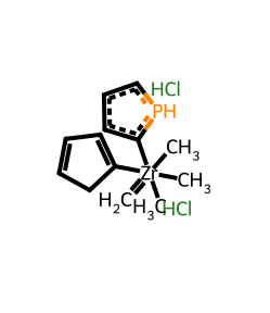 Cl.Cl.[CH2]=[Zr]([CH3])([CH3])([CH3])([C]1=CC=CC1)[c]1ccc[pH]1